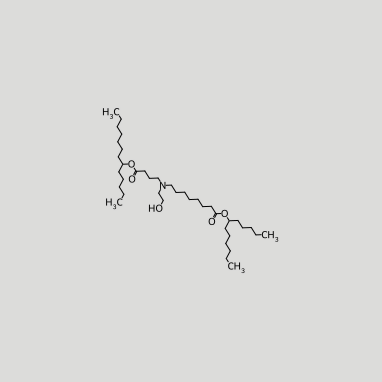 CCCCCCCC(CCCCC)OC(=O)CCCN(CCO)CCCCCCCC(=O)OC(CCCCC)CCCCCC